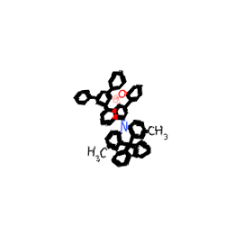 Cc1ccc2c(c1)C(c1ccccc1)(c1ccccc1)c1cc(C)ccc1N2c1ccc2c(c1)-c1ccccc1OB2c1c(-c2ccccc2)cc(-c2ccccc2)cc1-c1ccccc1